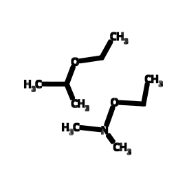 CCOC(C)C.CCON(C)C